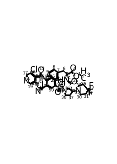 CCOC(=O)[C@H](Cc1ccc(NC(=O)c2c(Cl)cncc2Cl)cc1)NC(=O)[C@@H]1C(N2CCC(F)(F)CC2)CCN1S(=O)(=O)c1cccc(C#N)c1